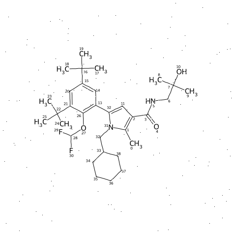 Cc1c(C(=O)NCC(C)(C)O)cc(-c2cc(C(C)(C)C)cc(C(C)(C)C)c2OC(F)F)n1CC1CCCCC1